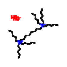 CCCCC[N+](CCCCC)(CCCCC)CCCCCCCC[N+](CCCCC)(CCCCC)CCCCC.[OH-].[OH-]